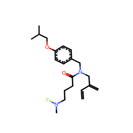 C=CC(=C)CN(Cc1ccc(OCC(C)C)cc1)C(=O)CCCN(C)F